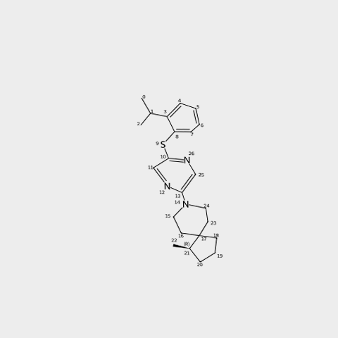 CC(C)c1ccccc1Sc1cnc(N2CCC3(CCC[C@H]3C)CC2)cn1